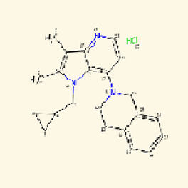 Cc1c(C)n(CC2CC2)c2c(N3CCc4ccccc4C3)ccnc12.Cl